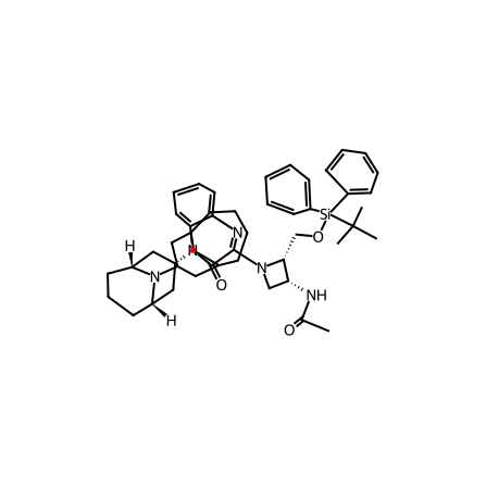 CC(=O)N[C@@H]1CN(c2nc3ccccc3n([C@H]3C[C@H]4CCC[C@@H](C3)N4C3CC4CCCCC(C4)C3)c2=O)[C@@H]1CO[Si](c1ccccc1)(c1ccccc1)C(C)(C)C